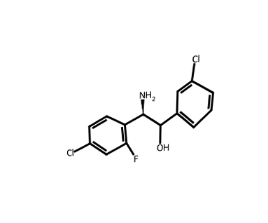 N[C@H](c1ccc(Cl)cc1F)C(O)c1cccc(Cl)c1